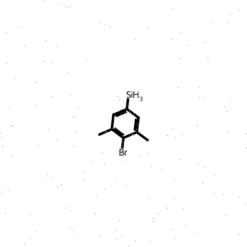 Cc1cc([SiH3])cc(C)c1Br